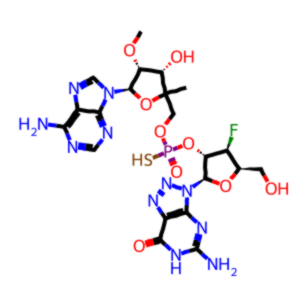 CO[C@H]1[C@H](n2cnc3c(N)ncnc32)OC(C)(COP(=O)(S)O[C@@H]2[C@@H](F)[C@@H](CO)O[C@H]2n2nnc3c(=O)[nH]c(N)nc32)[C@H]1O